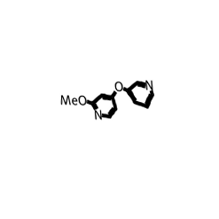 COc1cc(Oc2cccnc2)ccn1